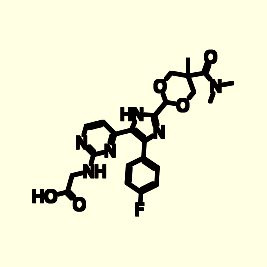 CN(C)C(=O)C1(C)COC(c2nc(-c3ccc(F)cc3)c(-c3ccnc(NCC(=O)O)n3)[nH]2)OC1